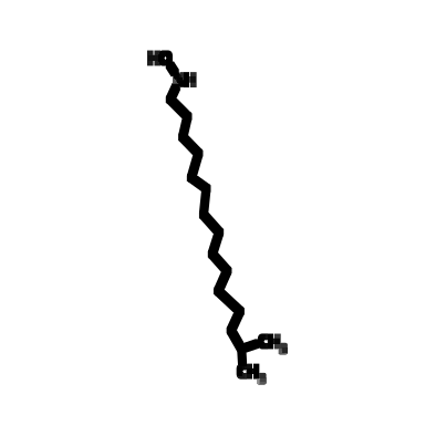 CC(C)CCCCCCCCCCCCCNO